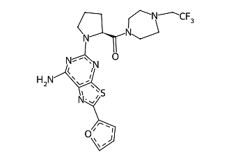 Nc1nc(N2CCC[C@H]2C(=O)N2CCN(CC(F)(F)F)CC2)nc2sc(-c3ccco3)nc12